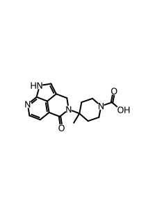 CC1(N2Cc3c[nH]c4nccc(c34)C2=O)CCN(C(=O)O)CC1